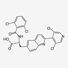 O=C(N[C@@H](Cc1ccc2nc(-c3c(Cl)cncc3Cl)ccc2c1)C(=O)O)c1c(Cl)cccc1Cl